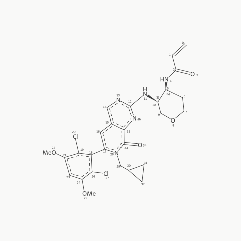 C=CC(=O)N[C@H]1CCOC[C@H]1Nc1ncc2cc(-c3c(Cl)c(OC)cc(OC)c3Cl)n(CC3CC3)c(=O)c2n1